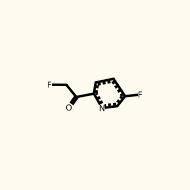 O=C(CF)c1ccc(F)cn1